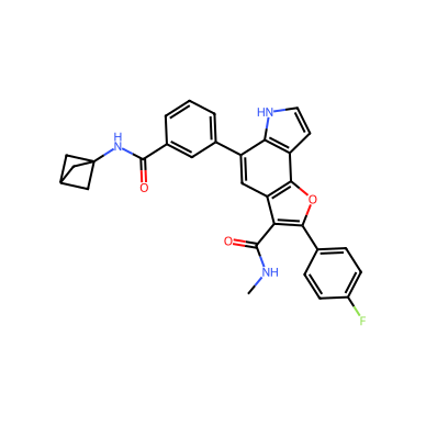 CNC(=O)c1c(-c2ccc(F)cc2)oc2c1cc(-c1cccc(C(=O)NC34CC(C3)C4)c1)c1[nH]ccc12